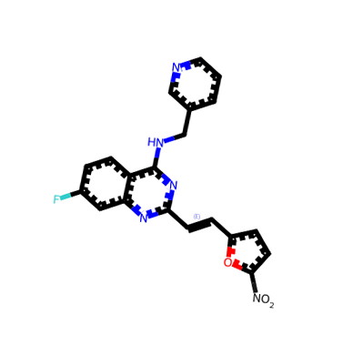 O=[N+]([O-])c1ccc(/C=C/c2nc(NCc3cccnc3)c3ccc(F)cc3n2)o1